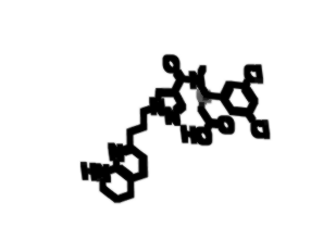 CN(C(=O)c1cnn(CCCc2ccc3c(n2)NCCC3)c1)[C@@H](CC(=O)O)c1cc(Cl)cc(Cl)c1